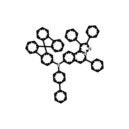 c1ccc(-c2ccc(N(c3ccc4c(c3)C3(c5ccccc5-c5ccccc53)c3ccccc3-4)c3ccc4c(c3)cc(-c3ccccc3)n3nc(-c5ccccc5)c(-c5ccccc5)c43)cc2)cc1